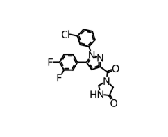 O=C1CN(C(=O)c2cc(-c3ccc(F)c(F)c3)n(-c3cccc(Cl)c3)n2)CN1